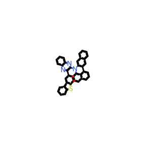 c1ccc2cc3c(cc2c1)-c1cccc2cccc(c12)N3c1nc2ccccc2nc1-c1ccc2sc3ccccc3c2c1